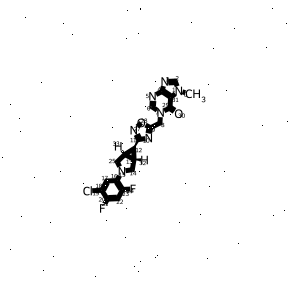 Cn1cnc2ncn(Cc3nc([C@H]4[C@@H]5CN(c6cc(Cl)c(F)cc6F)C[C@@H]54)no3)c(=O)c21